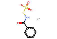 O=C(NSS(=O)(=O)[O-])c1ccccc1.[K+]